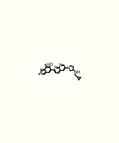 Cc1c(O)c(-c2ccc3cc(N4CC[C@H](NCC5CC5)C4)cnc3n2)cc2cn(C)nc12